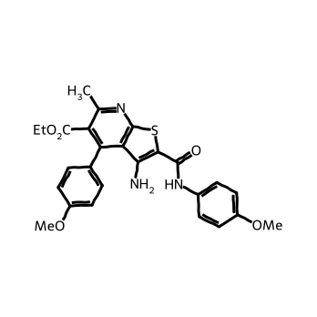 CCOC(=O)c1c(C)nc2sc(C(=O)Nc3ccc(OC)cc3)c(N)c2c1-c1ccc(OC)cc1